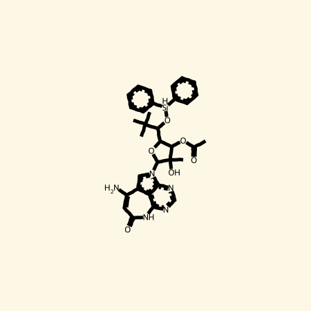 CC(=O)OC1C(C(O[SiH](c2ccccc2)c2ccccc2)C(C)(C)C)OC(n2cc3c4c(ncnc42)NC(=O)C=C3N)C1(C)O